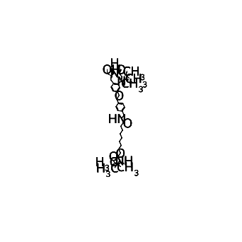 CC(C)[C@H]1C(=O)N[C@H](CO)Cc2ccc(OCc3ccc(CNC(=O)CCCCCCCOC(=O)NC(C)(C)C)cc3)cc2N1C